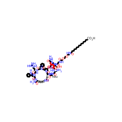 CCCC[C@H](NC(=O)[C@H](CN)NC(=O)[C@H](Cc1c[nH]cn1)NC(=O)[C@H](CCC(N)=O)NC(=O)[C@H](CO)NC(=O)CNC(=O)COCCOCCNC(=O)CCCCCCCCCCCCCCC(=O)O)C(=O)N[C@H]1CCC(=O)NCCCC[C@@H](C(N)=O)NC(=O)[C@H](Cc2c[nH]c3ccccc23)NC(=O)[C@H](CCCNC(=N)N)NC(=O)[C@@H](Cc2ccccc2)NC(=O)[C@@H]2C[C@@H](O)CN2C1=O